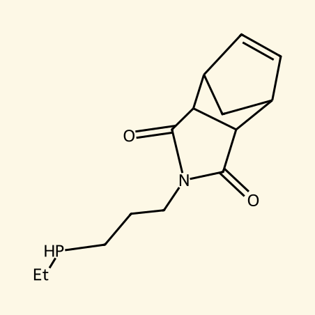 CCPCCCN1C(=O)C2C3C=CC(C3)C2C1=O